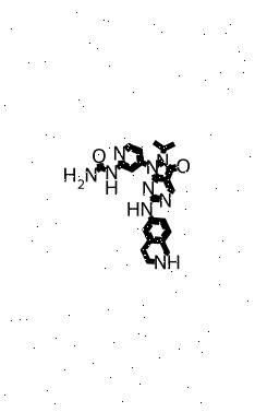 CC(C)n1c(=O)c2cnc(Nc3ccc4c(c3)CCNC4)nc2n1-c1ccnc(NC(N)=O)c1